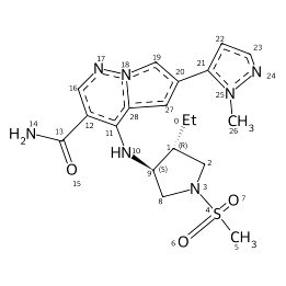 CC[C@@H]1CN(S(C)(=O)=O)C[C@H]1Nc1c(C(N)=O)cnn2cc(-c3ccnn3C)cc12